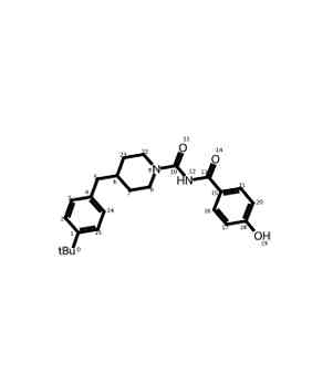 CC(C)(C)c1ccc(CC2CCN(C(=O)NC(=O)c3ccc(O)cc3)CC2)cc1